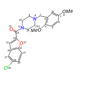 COc1ccc(OC)c(CN2CCN(C(=O)c3cc4cc(Cl)ccc4o3)CC2)c1